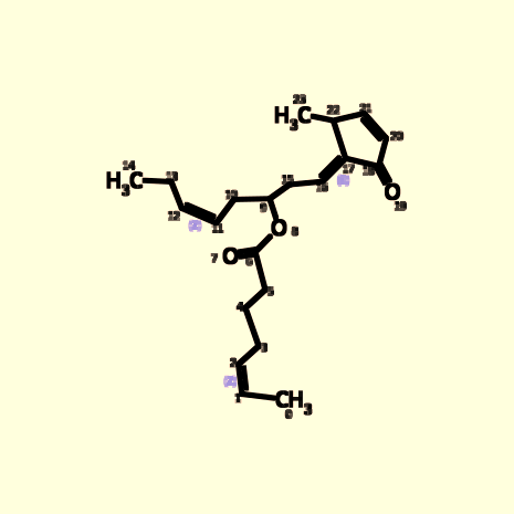 C/C=C\CCCC(=O)OC(C/C=C\CC)C/C=C1/C(=O)C=CC1C